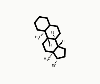 CC[C@H]1CC[C@H]2[C@@H]3CCC4CCC[CH][C@]4(C)[C@H]3CC[C@]12C